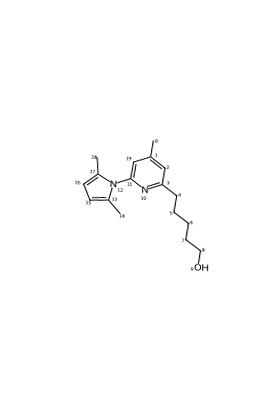 Cc1cc(CCCCCO)nc(-n2c(C)ccc2C)c1